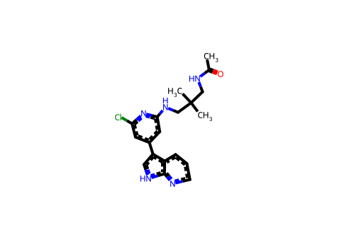 CC(=O)NCC(C)(C)CNc1cc(-c2c[nH]c3ncccc23)cc(Cl)n1